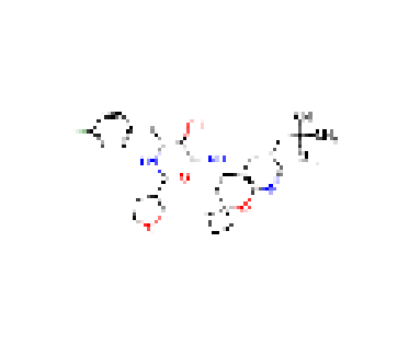 CC(C)(C)Cc1cnc2c(c1)[C@@H](NC[C@H](O)[C@H](Cc1ccc(F)cc1)NC(=O)C1CCOC1)CC1(CCC1)O2